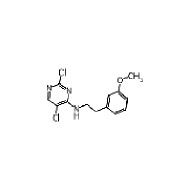 COc1cccc(CCNc2nc(Cl)ncc2Cl)c1